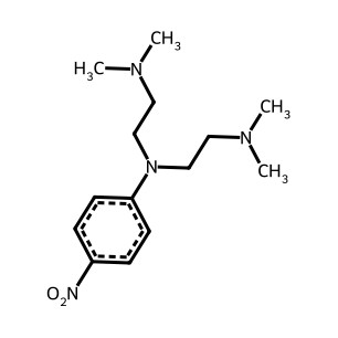 CN(C)CCN(CCN(C)C)c1ccc([N+](=O)[O-])cc1